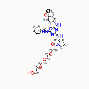 COc1ccc(Nc2nc(NCC3CCCCC3)nc(NCC3CCCN3C(=O)CCOCCOCCOCCO)n2)cc1F